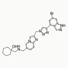 OC1(CNCc2ccc3nc(Cn4cc(-c5cc(Br)cc6[nH]ncc56)nn4)cn3c2)CCCCC1